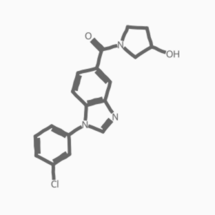 O=C(c1ccc2c(c1)ncn2-c1cccc(Cl)c1)N1CCC(O)C1